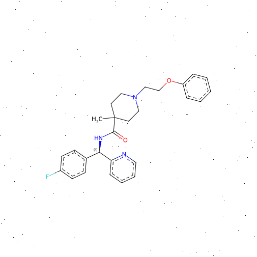 CC1(C(=O)N[C@H](c2ccc(F)cc2)c2ccccn2)CCN(CCOc2ccccc2)CC1